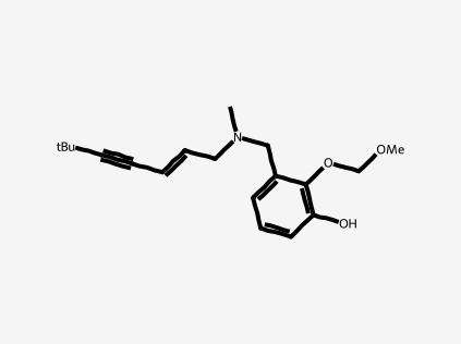 COCOc1c(O)cccc1CN(C)CC=CC#CC(C)(C)C